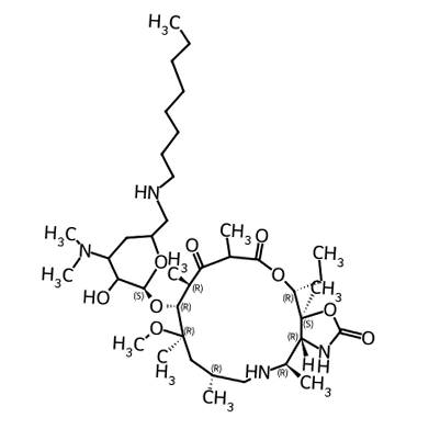 CCCCCCCCNCC1CC(N(C)C)C(O)[C@H](O[C@@H]2[C@@H](C)C(=O)C(C)C(=O)O[C@H](CC)[C@@]3(C)OC(=O)N[C@@H]3[C@@H](C)NC[C@H](C)C[C@@]2(C)OC)O1